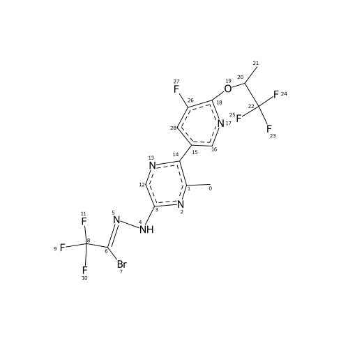 Cc1nc(NN=C(Br)C(F)(F)F)cnc1-c1cnc(OC(C)C(F)(F)F)c(F)c1